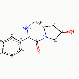 O=C(O)NC(C(=O)N1CC[C@@H](O)C1)c1ccccc1